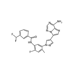 Cc1cc(F)c(NC(=O)c2cccc(C(F)F)c2)cc1-n1cc(-c2cnc3c(N)ncnn23)cn1